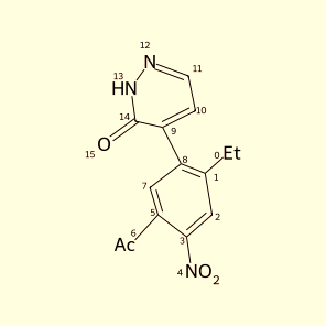 CCc1cc([N+](=O)[O-])c(C(C)=O)cc1-c1ccn[nH]c1=O